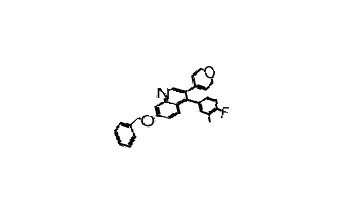 Cc1cc(-c2c(C3=CCOCC3)cnc3cc(OCc4ccccc4)ccc23)ccc1F